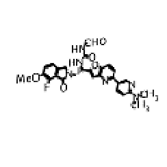 COc1ccc2c(c1F)C(=O)N(C[C@H](NC(=O)NC=O)c1cc3nc(-c4ccc(N(C)C)nc4)ccc3o1)C2